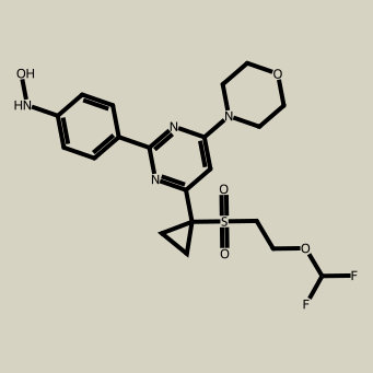 O=S(=O)(CCOC(F)F)C1(c2cc(N3CCOCC3)nc(-c3ccc(NO)cc3)n2)CC1